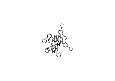 c1ccc(-c2nc(-c3ccccc3)nc(-c3cccc(-n4c5ccc(C6CCCC6)cc5c5ccc6c7cc(C8CCCC8)ccc7n(-c7nc(-c8cccc9c8sc8ccccc89)nc(-c8cccc9c8sc8ccccc89)n7)c6c54)n3)n2)cc1